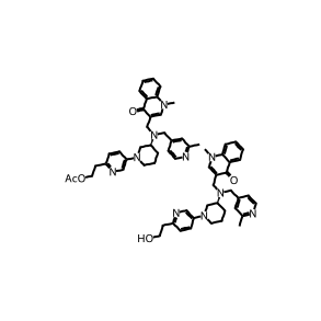 CC(=O)OCCc1ccc(N2CCC[C@H](N(Cc3ccnc(C)c3)Cc3cn(C)c4ccccc4c3=O)C2)cn1.Cc1cc(CN(Cc2cn(C)c3ccccc3c2=O)[C@H]2CCCN(c3ccc(CCO)nc3)C2)ccn1